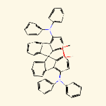 COc1ccc(N(c2ccccc2)c2ccccc2)c2c1C1(c3ccccc3-2)c2ccccc2-c2c(N(c3ccccc3)c3ccccc3)ccc(OC)c21